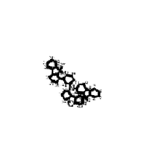 CC1(C)c2ccccc2-c2ccc(N(c3cccc(-c4cccc5c4C(C)(C)c4ccccc4-5)c3)c3cccc4oc5ccccc5c34)cc21